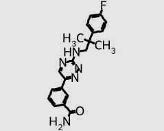 CC(C)(CNc1ncc(-c2cccc(C(N)=O)c2)nn1)c1ccc(F)cc1